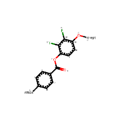 CCCCCCCCCc1ccc(C(=O)Oc2ccc(OCCCCCCC)c(F)c2F)cc1